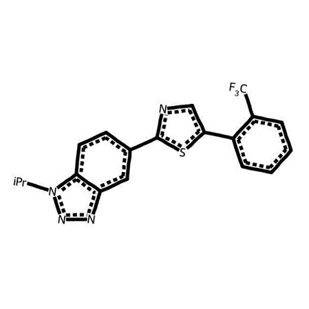 CC(C)n1nnc2cc(-c3ncc(-c4ccccc4C(F)(F)F)s3)ccc21